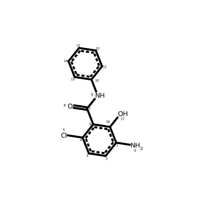 Nc1ccc(Cl)c(C(=O)Nc2ccccc2)c1O